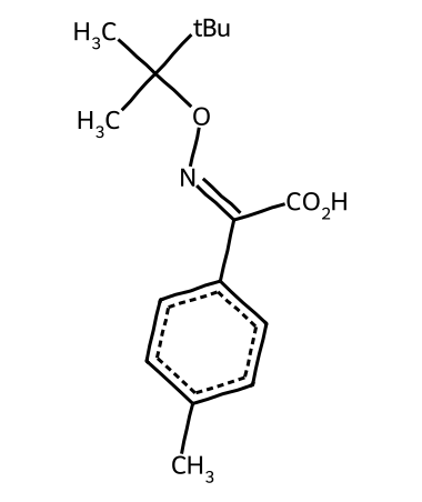 Cc1ccc(/C(=N/OC(C)(C)C(C)(C)C)C(=O)O)cc1